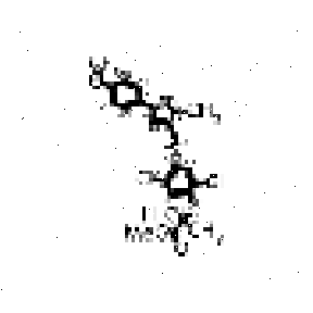 COC(=O)C(C)(C)Oc1cc(Cl)c(OCc2cc(-c3ccc(OC(F)(F)F)cc3)nn2C)cc1Cl